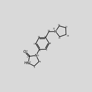 O=C1NCCN1c1c[c]c(CN2CCCC2)cc1